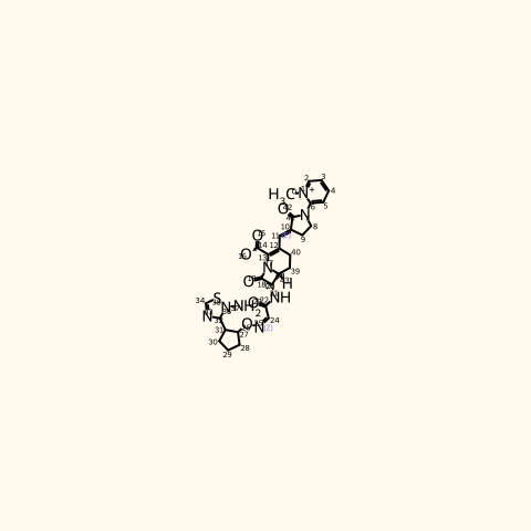 C[n+]1ccccc1N1CC/C(=C\C2=C(C(=O)[O-])N3C(=O)[C@@H](NC(=O)/C=N\OC4CCCC4C4N=CSN4N)[C@H]3CC2)C1=O